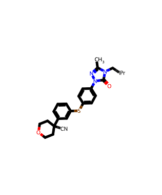 Cc1nn(-c2ccc(Sc3cccc(C4(C#N)CCOCC4)c3)cc2)c(=O)n1CC(C)C